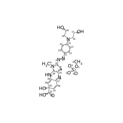 COS(=O)(=O)[O-].C[n+]1c(/N=N/c2ccc(N(CCO)CCO)cc2)sc2c1NC1=CC(O)(C(=O)O)C=CC1=N2